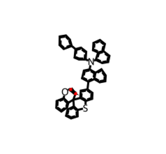 c1ccc(-c2ccc(N(c3cccc4ccccc34)c3ccc(-c4ccc5c(c4)C4(c6ccccc6Oc6ccccc64)c4ccccc4S5)c4ccccc34)cc2)cc1